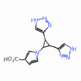 O=C(O)c1ccn(C2C(c3c[nH]nn3)C2c2c[nH]nn2)c1